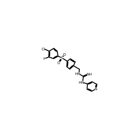 N=C(NCc1ccc(S(=O)(=O)c2ccc(Cl)c(F)c2)cc1)Nc1ccncc1